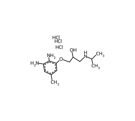 Cc1cc(N)c(N)c(OCC(O)CNC(C)C)c1.Cl.Cl.Cl